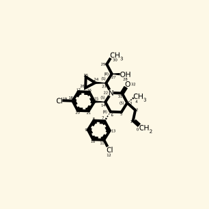 C=CC[C@@]1(C)C[C@H](c2cccc(Cl)c2)[C@@H](c2ccc(Cl)cc2)N([C@@H](C2CC2)[C@H](O)CC)C1=O